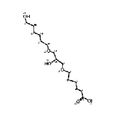 O=C(O)CCCCCOCC(O)COCCCCCCO